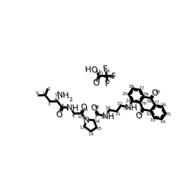 CC(C)C[C@H](N)C(=O)NCC(=O)N1CCC[C@H]1C(=O)NCCCNc1cccc2c1C(=O)c1ccccc1C2=O.O=C(O)C(F)(F)F